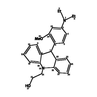 CCN(CC)c1ccc(C2c3ccccc3N(CCO)c3ccccc32)c(OC)c1